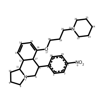 O=[N+]([O-])c1ccc(C2CN3CCCC3C3C=CC=C(OCCCN4CCCCC4)C23)cc1